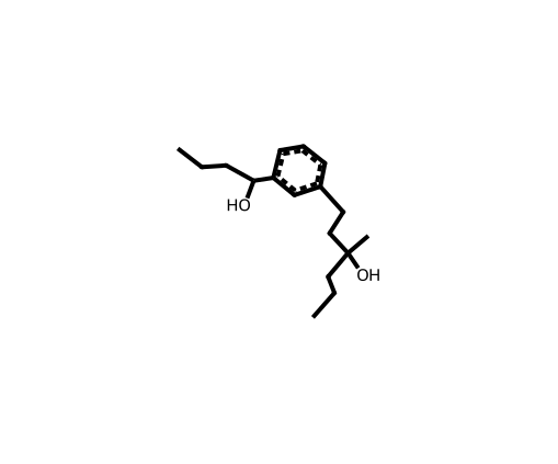 CCCC(O)c1cccc(CCC(C)(O)CCC)c1